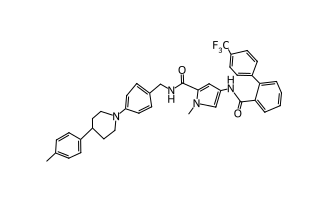 Cc1ccc(C2CCN(c3ccc(CNC(=O)c4cc(NC(=O)c5ccccc5-c5ccc(C(F)(F)F)cc5)cn4C)cc3)CC2)cc1